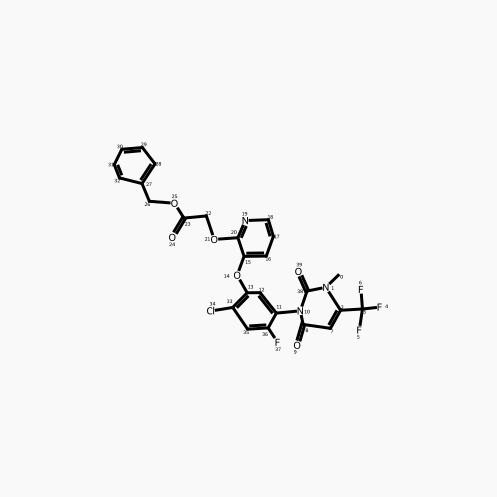 Cn1c(C(F)(F)F)cc(=O)n(-c2cc(Oc3cccnc3OCC(=O)OCc3ccccc3)c(Cl)cc2F)c1=O